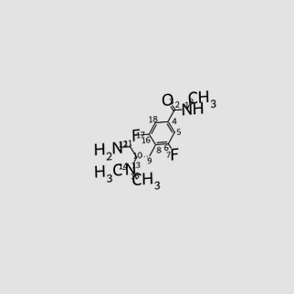 CNC(=O)c1cc(F)c(C[C@@H](CN)N(C)C)c(F)c1